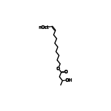 CCCCCCCC/C=C\CCCCCCCCOC(=O)CC(C)O